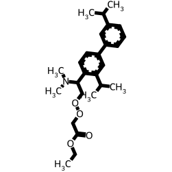 CCOC(=O)COOCC(c1ccc(-c2cccc(C(C)C)c2)cc1C(C)C)N(C)C